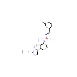 Cc1ncc(-c2cccc(NC(=O)/C=C/c3cccc(Cl)c3)c2)n1C